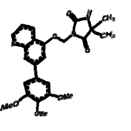 COc1cc(-c2cc(OCN3C(=O)NC(C)(C)C3=O)c3cccnc3c2)cc(OC)c1OC